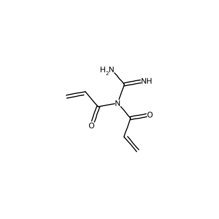 C=CC(=O)N(C(=N)N)C(=O)C=C